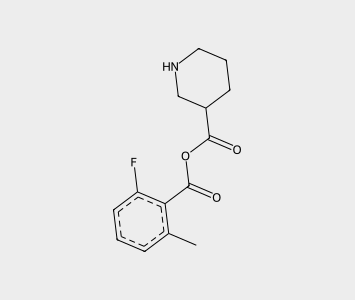 Cc1cccc(F)c1C(=O)OC(=O)C1CCCNC1